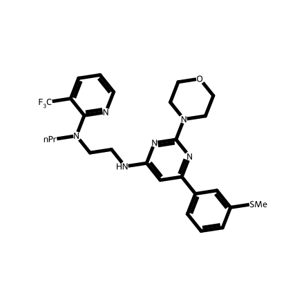 CCCN(CCNc1cc(-c2cccc(SC)c2)nc(N2CCOCC2)n1)c1ncccc1C(F)(F)F